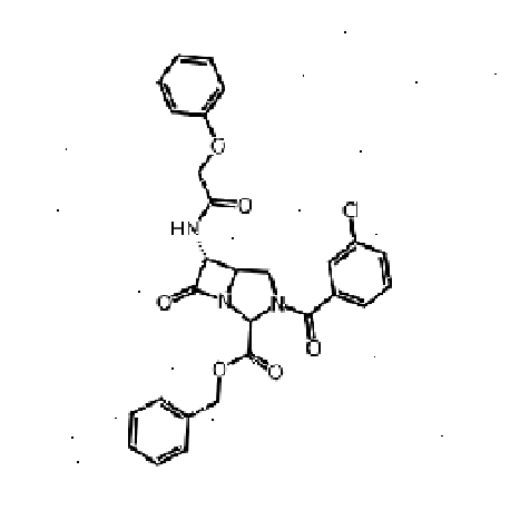 O=C(COc1ccccc1)N[C@H]1C(=O)N2C1CN(C(=O)c1cccc(Cl)c1)C2C(=O)OCc1ccccc1